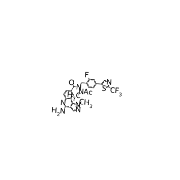 CC(=O)N(C)N(Cc1ccc(-c2cnc(C(F)(F)F)s2)cc1F)C(=O)c1ccc2nc(N)c3cnn(C)c3c2c1